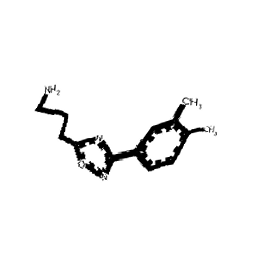 Cc1ccc(-c2noc(CCCN)n2)cc1C